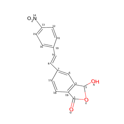 O=C1OC(O)c2cc(C=Cc3ccc([N+](=O)[O-])cc3)ccc21